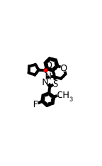 Cc1ccc(F)cc1C1=NN(C(=O)C2CCCC2)C2(CCOc3ccccc32)S1